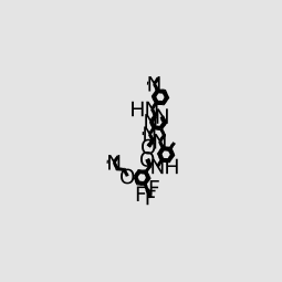 Cc1ccc(NC(=O)c2cc(OCCN(C)C)cc(C(F)(F)F)c2)cc1N1Cc2cnc(Nc3cccc(N(C)C)c3)nc2N(C)C1=O